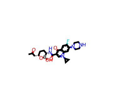 CC(=O)C[C@@H]1CC[C@H](NC(=O)c2cn(C3CC3)c3cc(N4CCNCC4)c(F)cc3c2=O)B(O)O1